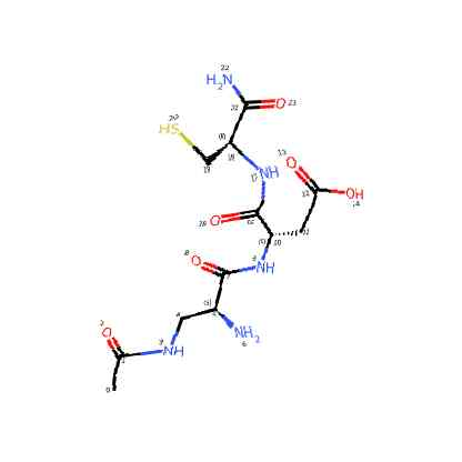 CC(=O)NC[C@H](N)C(=O)N[C@@H](CC(=O)O)C(=O)N[C@@H](CS)C(N)=O